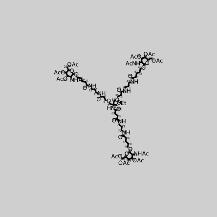 CCOCC(COCCC(=O)NCCCNC(=O)CCCCOC1OC(COC(C)=O)C(OC(C)=O)C(OC(C)=O)C1NC(C)=O)(COCCC(=O)NCCCNC(=O)CCCCOC1OC(COC(C)=O)C(OC(C)=O)C(OC(C)=O)C1NC(C)=O)NC(=O)CCC(=O)NCCCNC(=O)CCCCOC1OC(COC(C)=O)C(OC(C)=O)C(OC(C)=O)C1NC(C)=O